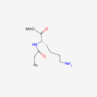 COC(=O)[C@H](CCCCN)NC(=O)CC(C)=O